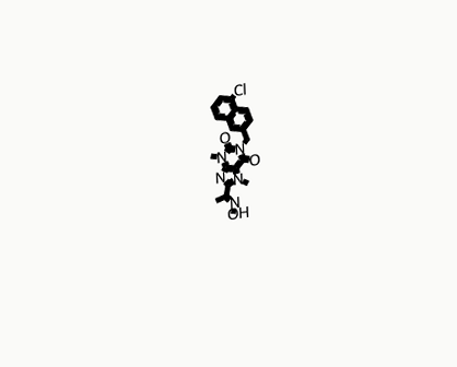 CC(=NO)c1nc2c(c(=O)n(Cc3ccc4c(Cl)cccc4c3)c(=O)n2C)n1C